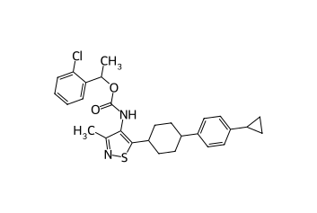 Cc1nsc(C2CCC(c3ccc(C4CC4)cc3)CC2)c1NC(=O)OC(C)c1ccccc1Cl